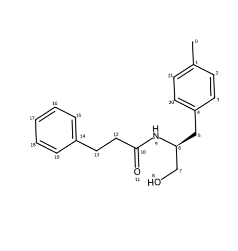 Cc1ccc(C[C@@H](CO)NC(=O)CCc2ccccc2)cc1